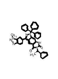 CC(c1ccccc1)n1c(=O)[nH]c2cc3c(cc2c1=O)c(-c1ccc2nnn(C)c2c1)nn3C(c1ccccc1)(c1ccccc1)c1ccccc1